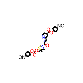 CC1N(C(=O)/C=C/c2cc(C(=O)Oc3ccc(N=O)cc3)ccn2)CSC1(C)COC(=O)Oc1ccc(N=O)cc1